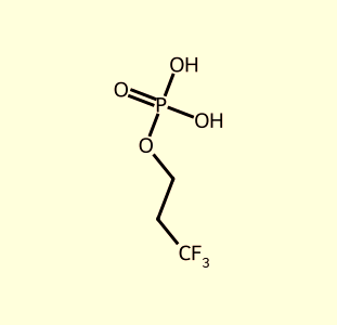 O=P(O)(O)OCCC(F)(F)F